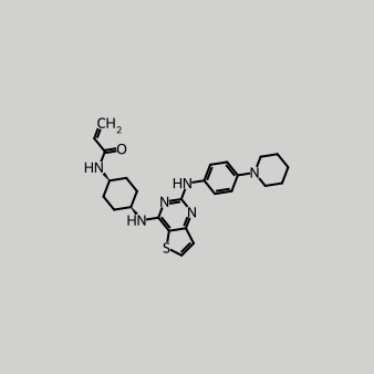 C=CC(=O)N[C@H]1CC[C@@H](Nc2nc(Nc3ccc(N4CCCCC4)cc3)nc3ccsc23)CC1